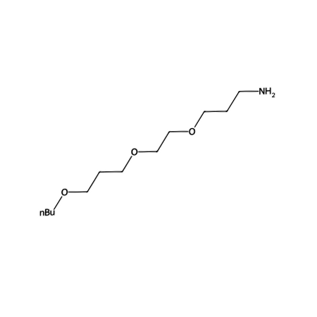 CCCCOCCCOCCOCCCN